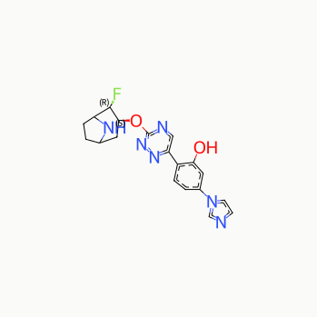 Oc1cc(-n2ccnc2)ccc1-c1cnc(O[C@H]2CC3CCC(N3)[C@H]2F)nn1